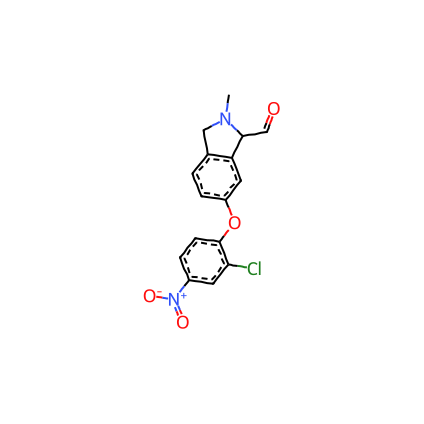 CN1Cc2ccc(Oc3ccc([N+](=O)[O-])cc3Cl)cc2C1C=O